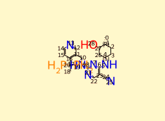 C[C@@H]1CC[C@H](Nc2nc(NCc3cnccc3C(C)(P)P)ncc2C#N)CC1O